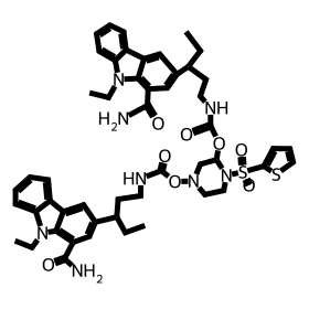 CCC(CCNC(=O)OC1CN(OC(=O)NCCC(CC)c2cc(C(N)=O)c3c(c2)c2ccccc2n3CC)CCN1S(=O)(=O)c1cccs1)c1cc(C(N)=O)c2c(c1)c1ccccc1n2CC